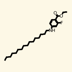 CCCCCCCCCCCCCCCCNc1ccc(C(=O)OCC)c(F)c1